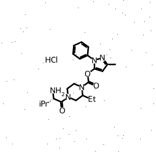 CCC1CN(C(=O)[C@@H](N)C(C)C)CCN1C(=O)Oc1cc(C)nn1-c1ccccc1.Cl